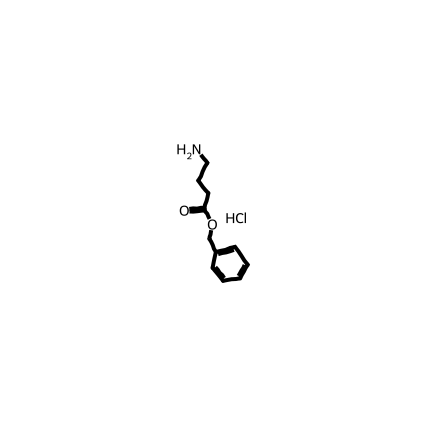 Cl.NCCCC(=O)OCc1ccccc1